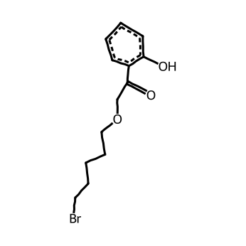 O=C(COCCCCCBr)c1ccccc1O